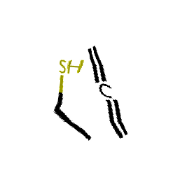 C=C=C.CCS